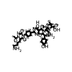 CC(=O)NC(CCCCN)C(=O)N(C(C)=O)c1ccc(-c2ncc(C(=O)N(C(=O)C(N)c3ccc(O)cc3)[C@@H]3C(=O)N4[C@@H]3SC(C)(C)[C@@H]4C(=O)O)c(O)n2)cc1